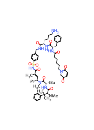 CN[C@H](C(=O)N[C@H](C(=O)N(C)[C@H](/C=C(\C)C(=O)NS(=O)(=O)c1ccc(CNC(=O)[C@H](CCCCN)NC(=O)[C@H](Cc2ccccc2)NC(=O)CCCCCN2CC(=O)C=CC2=O)cc1)C(C)C)C(C)(C)C)C(C)(C)c1ccccc1